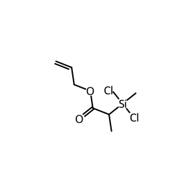 C=CCOC(=O)C(C)[Si](C)(Cl)Cl